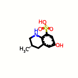 C[C@@H]1CNc2c(cc(O)cc2S(=O)(=O)O)C1